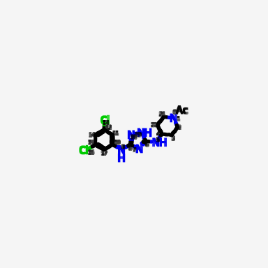 CC(=O)N1CCC(Nc2nc(Nc3cc(Cl)cc(Cl)c3)n[nH]2)CC1